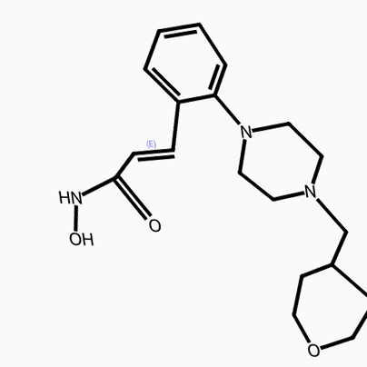 O=C(/C=C/c1ccccc1N1CCN(CC2CCOCC2)CC1)NO